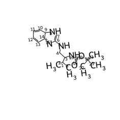 CC(C)C(CNC1=CNC2C=CC=CC2=N1)NC(=O)OC(C)(C)C